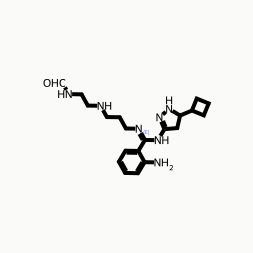 Nc1ccccc1/C(=N\CCCNCCNC=O)NC1=NNC(C2CCC2)C1